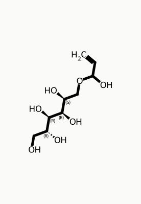 C=CC(O)OC[C@H](O)[C@@H](O)[C@H](O)[C@H](O)CO